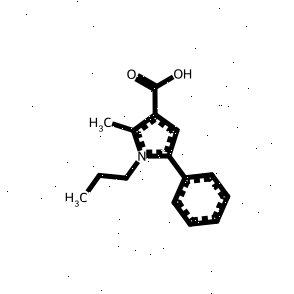 CCCn1c(-c2ccccc2)cc(C(=O)O)c1C